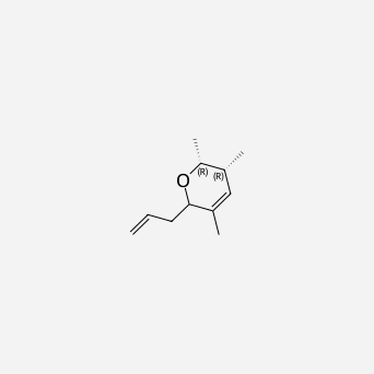 C=CCC1O[C@H](C)[C@H](C)C=C1C